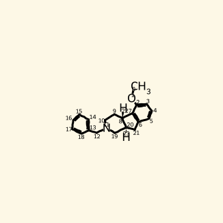 COc1cccc2c1[C@H]1CCN(Cc3ccccc3)C[C@@H]1C2